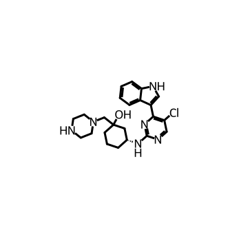 OC1(CN2CCNCC2)CCC[C@@H](Nc2ncc(Cl)c(-c3c[nH]c4ccccc34)n2)C1